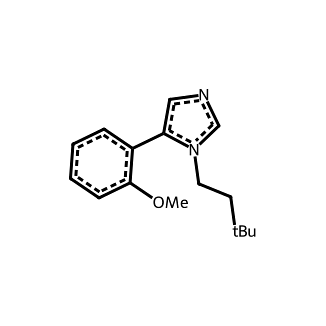 COc1ccccc1-c1cncn1CCC(C)(C)C